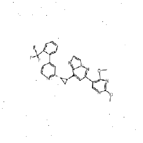 COc1ncc(-c2cc([C@H]3C[C@@H]3c3cc(-c4ccccc4C(F)(F)F)ccn3)c3nccn3n2)c(OC)n1